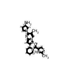 Cc1cn2nc([C@@H]3CCCCN3C(=O)C3CSC(C)N3)cc2nc1N1CC[C@H](N)C1